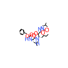 CCCC[C@H](NC(=O)[C@H](CC(C)C)NC(=O)OCc1ccccc1)C(=O)c1nn(CC(C)C)c(=O)o1